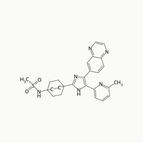 Cc1cccc(-c2[nH]c(C34CCC(NS(C)(=O)=O)(CC3)CC4)nc2-c2ccc3nccnc3c2)n1